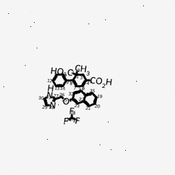 CC1(C(=O)O)CC(C(=O)O)=CC=C1c1ccccc1.FC(F)F.c1ccc2cc(OCc3ncc[nH]3)ccc2c1